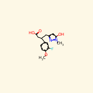 COc1ccc(C(CC(=O)O)Cc2cc(O)n(C)n2)cc1F